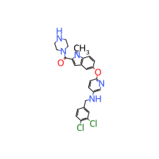 Cn1c(C(=O)N2CCNCC2)cc2cc(Oc3ccc(NCc4ccc(Cl)c(Cl)c4)cn3)ccc21